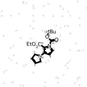 CCOC(=O)c1c(N2CC=CC2)ccn1C(=O)OC(C)(C)C